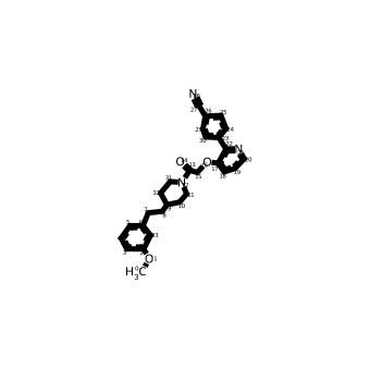 COc1cccc(CCC2CCN(C(=O)COc3cccnc3-c3ccc(C#N)cc3)CC2)c1